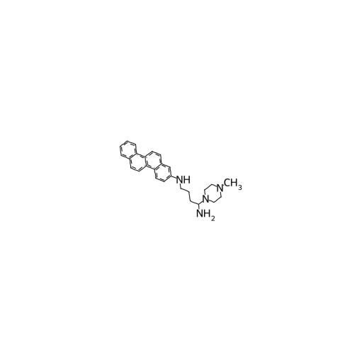 CN1CCN(C(N)CCCNc2ccc3c(ccc4c5ccccc5ccc34)c2)CC1